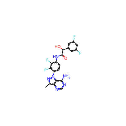 Cc1nn(-c2ccc(NC(=O)C(O)c3cc(F)cc(F)c3)c(F)c2F)c2c(N)ncnc12